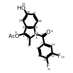 CC(=O)Oc1c(C)n(C(=O)c2ccc(F)c(F)c2)c2ccc(O)cc12